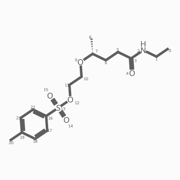 CCNC(=O)CC[C@@H](C)OCCOS(=O)(=O)c1ccc(C)cc1